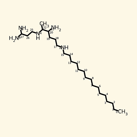 CCCCCCCCCCCCCCCCNCCCC(N)C(C)NCCC(N)N